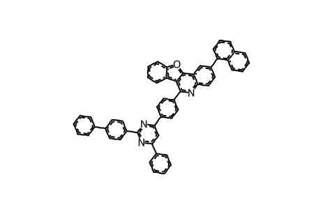 c1ccc(-c2ccc(-c3nc(-c4ccccc4)cc(-c4ccc(-c5nc6ccc(-c7cccc8ccccc78)cc6c6oc7ccccc7c56)cc4)n3)cc2)cc1